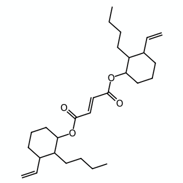 C=CC1CCCC(OC(=O)C=CC(=O)OC2CCCC(C=C)C2CCCC)C1CCCC